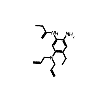 C=CCN(CC=C)c1cc(NC(=C)CC)c(N)cc1CC